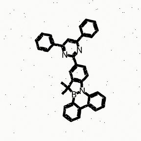 CC1(C)B2c3ccccc3-c3ccccc3N2c2ccc(-c3nc(-c4ccccc4)cc(-c4ccccc4)n3)cc21